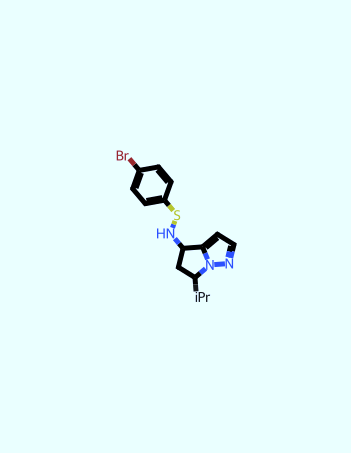 CC(C)C1CC(NSc2ccc(Br)cc2)c2ccnn21